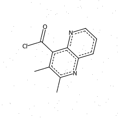 Cc1nc2cccnc2c(C(=O)Cl)c1C